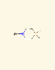 CC(C)N1CCS(C)(C)CC1